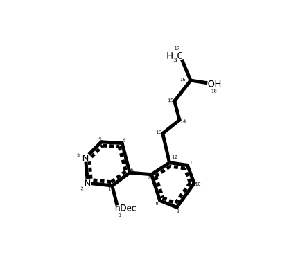 CCCCCCCCCCc1nnccc1-c1ccccc1CCCC(C)O